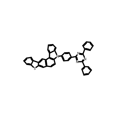 c1ccc(-c2nc(-c3ccccc3)nc(-c3ccc(-n4c5ccccc5c5c6cc7c(cc6ccc54)sc4ccccc47)cc3)n2)cc1